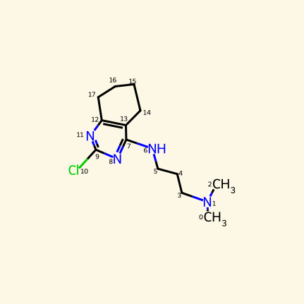 CN(C)CCCNc1nc(Cl)nc2c1CCCC2